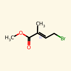 COC(=O)/C(C)=C/CBr